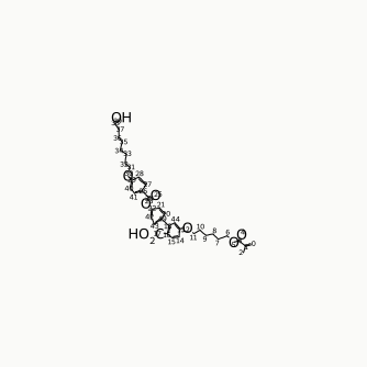 C=C(C)C(=O)OCCCCCCOc1ccc(C(=O)O)c(-c2ccc(OC(=O)c3ccc(OCCCCCCCCO)cc3)cc2)c1